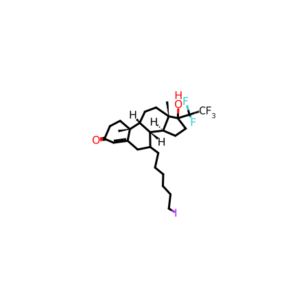 C[C@]12CCC(=O)C=C1CC(CCCCCCI)[C@@H]1[C@H]2CC[C@@]2(C)[C@H]1CCC2(O)C(F)(F)C(F)(F)F